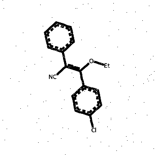 CCOC(=C(C#N)c1ccccc1)c1ccc(Cl)cc1